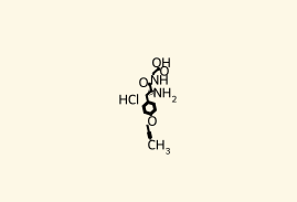 CC#CCOc1ccc(C[C@H](N)C(=O)NCC(=O)O)cc1.Cl